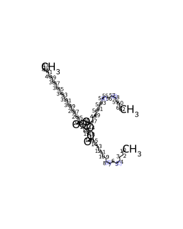 CCCC/C=C\C/C=C\CCCCCCCC(=O)OC[C@H](COC(=O)CCCCCCCCCCCCCCCCCCC)OC(=O)CCCCCCC/C=C\C/C=C\CCCC